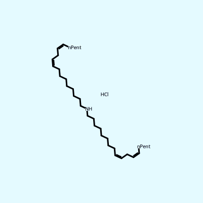 CCCCC/C=C\C/C=C\CCCCCCCCNCCCCCCCC/C=C\C/C=C\CCCCC.Cl